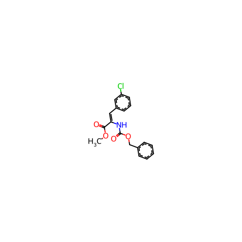 COC(=O)/C(=C/c1cccc(Cl)c1)NC(=O)OCc1ccccc1